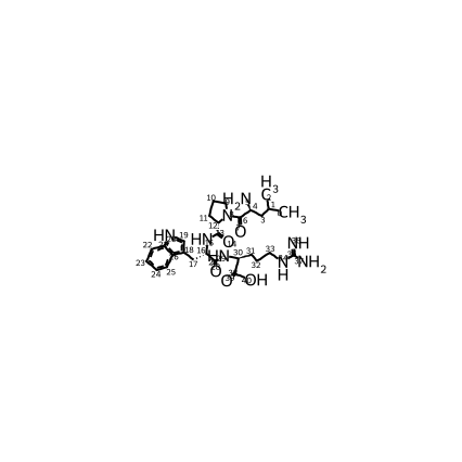 CC(C)C[C@H](N)C(=O)N1CCC[C@H]1C(=O)N[C@@H](Cc1c[nH]c2ccccc12)C(=O)N[C@@H](CCCNC(=N)N)C(=O)O